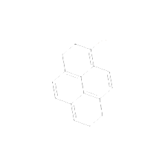 BrC1=c2ccc3c4c(ccc(c24)CC1)=CCC3